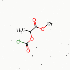 CC(C)OC(=O)C(C)OC(=O)Cl